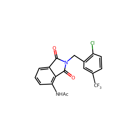 CC(=O)Nc1cccc2c1C(=O)N(Cc1cc(C(F)(F)F)ccc1Cl)C2=O